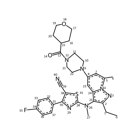 CCc1nn2c(C)cc(N3CCN(C(=O)C4CCOCC4)CC3)cc2c1N(C)c1nc(-c2ccc(F)cc2)c(C#N)s1